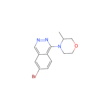 CC1COCCN1c1nncc2cc(Br)ccc12